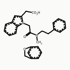 CN(CCc1ccccc1)C(=O)Cn1c(CC(=O)O)cc2ccccc21.c1cc2cc(c1)OC2